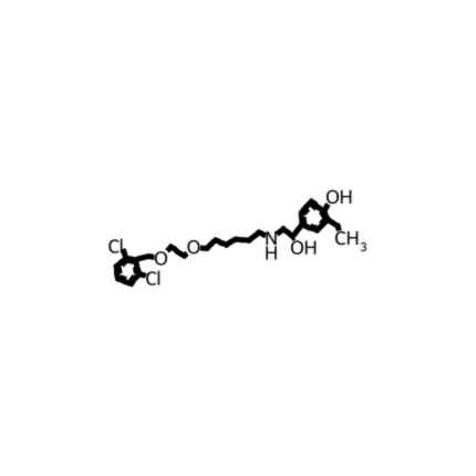 CCc1cc([C@@H](O)CNCCCCCCOCCOCc2c(Cl)cccc2Cl)ccc1O